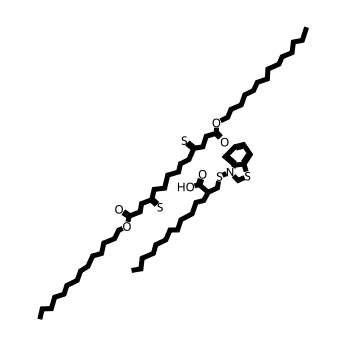 CCCCCCCCCCCCC(CSN1CSc2ccccc21)C(=O)O.CCCCCCCCCCCCCCOC(=O)CCC(=S)CCCCCCC(=S)CCC(=O)OCCCCCCCCCCCCCC